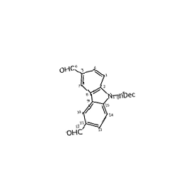 CCCCCCCCCCn1c2ccc(C=O)cc2c2cc(C=O)ccc21